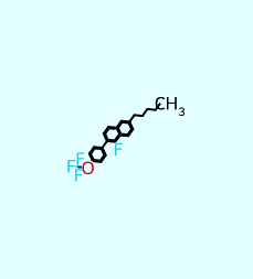 CCCCCc1ccc2c(F)c(-c3ccc(OC(F)(F)F)cc3)ccc2c1